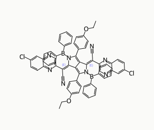 CCOc1ccc(-c2c3/c(=C(\C#N)c4cnc5cc(Cl)ccc5n4)n(B(c4ccccc4)c4ccccc4)c(-c4ccc(OCC)cc4)c3/c(=C(\C#N)c3cnc4cc(Cl)ccc4n3)n2B(c2ccccc2)c2ccccc2)cc1